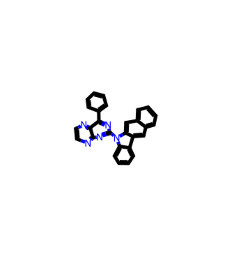 c1ccc(-c2nc(-n3c4ccccc4c4cc5ccccc5cc43)nc3nccnc23)cc1